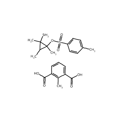 Cc1c(C(=O)O)cccc1C(=O)O.Cc1ccc(S(=O)(=O)OC2(C)C(C)C2(C)[SiH3])cc1